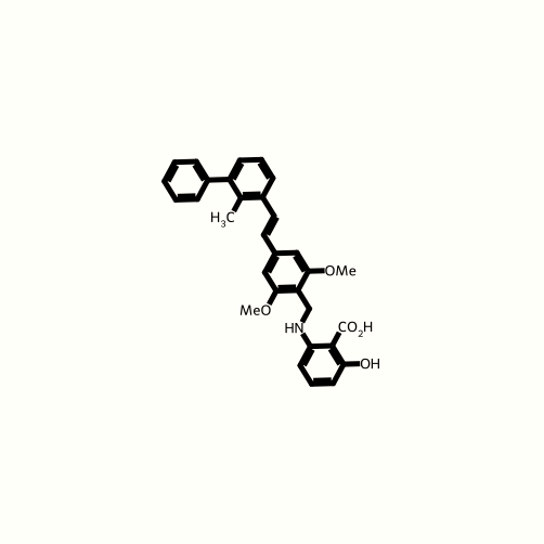 COc1cc(/C=C/c2cccc(-c3ccccc3)c2C)cc(OC)c1CNc1cccc(O)c1C(=O)O